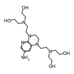 Nc1cnc2c(c1)N(CCN(CCO)CCO)CCN2CCN(CCO)CCO